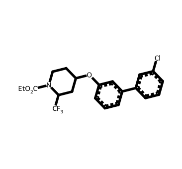 CCOC(=O)N1CCC(Oc2cccc(-c3cccc(Cl)c3)c2)CC1C(F)(F)F